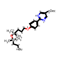 CCCCCCCCCCc1cnc(-c2ccc(OCCC[Si](C)(C)O[Si](C)(C)CCC(C)CC)cc2)nc1